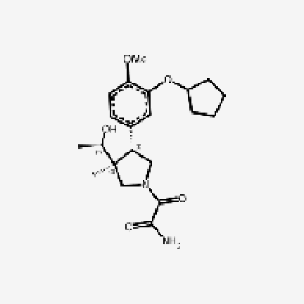 COc1ccc([C@@H]2CN(C(=O)C(N)=O)C[C@@]2(C)[C@@H](C)O)cc1OC1CCCC1